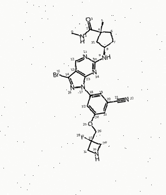 CNC(=O)[C@]1(C)CC[C@@H](Nc2ncc3c(Br)nn(-c4cc(C#N)cc(OCC5(F)CNC5)c4)c3n2)C1